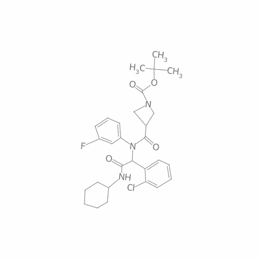 CC(C)(C)OC(=O)N1CC(C(=O)N(c2cccc(F)c2)C(C(=O)NC2CCCCC2)c2ccccc2Cl)C1